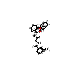 O=C(CNC(=O)c1cccc(C(F)(F)F)c1)N[C@@H]1CCN(C2C3CCC2CC(O)(c2cccnc2)C3)C1